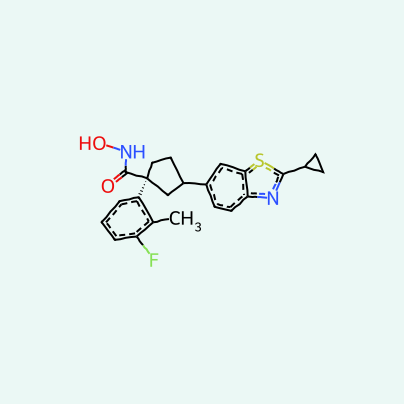 Cc1c(F)cccc1[C@]1(C(=O)NO)CCC(c2ccc3nc(C4CC4)sc3c2)C1